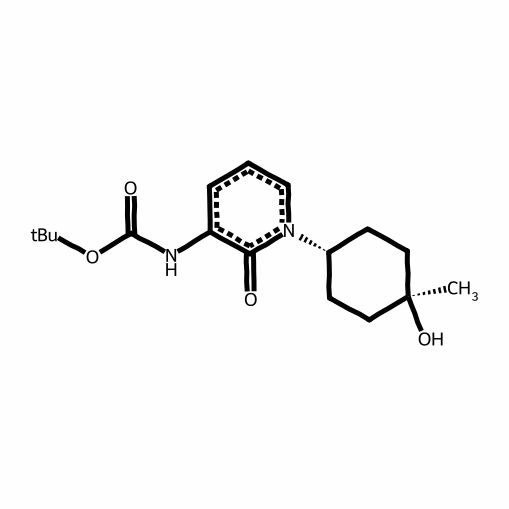 CC(C)(C)OC(=O)Nc1cccn([C@H]2CC[C@](C)(O)CC2)c1=O